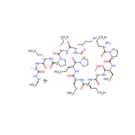 CC[C@H](C)[C@H](NC(=O)[C@H](C)NC(=O)[C@H](CCC(=O)O)NC(=O)[C@@H]1CCCN1C(=O)[C@H](CCC(=O)O)NC(=O)[C@H](CCCCN)NC(=O)[C@@H]1CCCN1C(=O)[C@H](CCC(=O)O)NC(=O)[C@H](CCC(=O)O)NC(=O)[C@H](CCC(=O)O)NC(=O)[C@H](CO)NC(=O)[C@H](CC(=O)O)NC(=O)[C@@H]1CCCN1C(=O)[C@@H](N)CCC(=O)O)C(=O)O